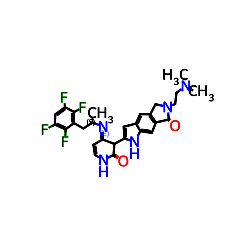 C[C@@H](Cc1c(F)c(F)cc(F)c1F)/N=C1\C=CNC(=O)C1c1cc2cc3c(cc2[nH]1)C(=O)N(CCN(C)C)C3